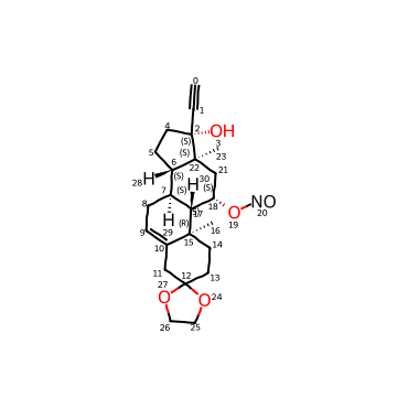 C#C[C@]1(O)CC[C@H]2[C@@H]3CC=C4CC5(CC[C@]4(C)[C@H]3[C@@H](ON=O)C[C@@]21C)OCCO5